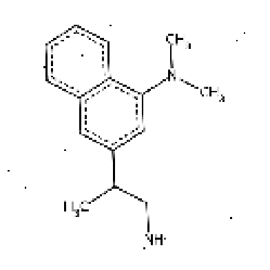 CC(C[NH])c1cc(N(C)C)c2ccccc2c1